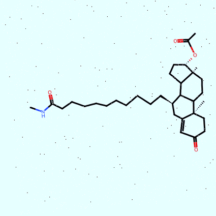 CNC(=O)CCCCCCCCCC[C@@H]1CC2=CC(=O)CC[C@]2(C)C2CC[C@@]3(C)C(CC[C@@H]3OC(C)=O)C21